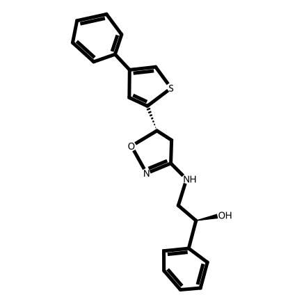 O[C@H](CNC1=NO[C@H](c2cc(-c3ccccc3)cs2)C1)c1ccccc1